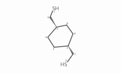 SC[C@H]1CC[C@@H](CS)CC1